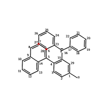 Cc1ccc(-c2cccc3ccccc23)c(P(c2ccccc2)c2ccccc2)c1